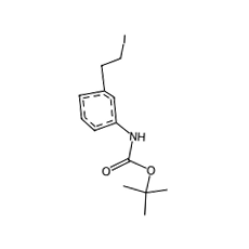 CC(C)(C)OC(=O)Nc1cccc(CCI)c1